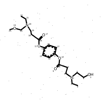 CCN(CCO)CCC(=O)Oc1ccc(OC(=O)CCN(CC)COC)cc1